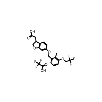 Cc1c(OCC(F)(F)F)ccnc1COc1ccc2c(c1)OCC2CC(=O)O.O=C(O)C(F)(F)F